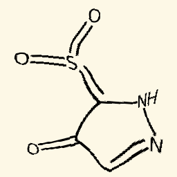 O=C1C=NNC1=S(=O)=O